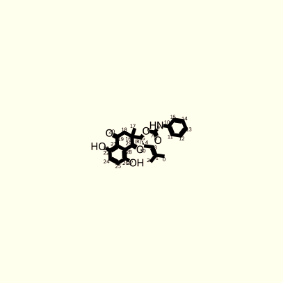 CC(C)=CC[C@@H](OC(=O)Nc1ccccc1)C1(C)CC(=O)c2c(O)ccc(O)c2C1=O